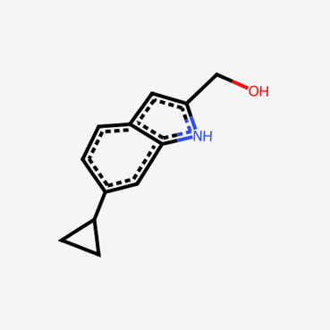 OCc1cc2ccc(C3CC3)cc2[nH]1